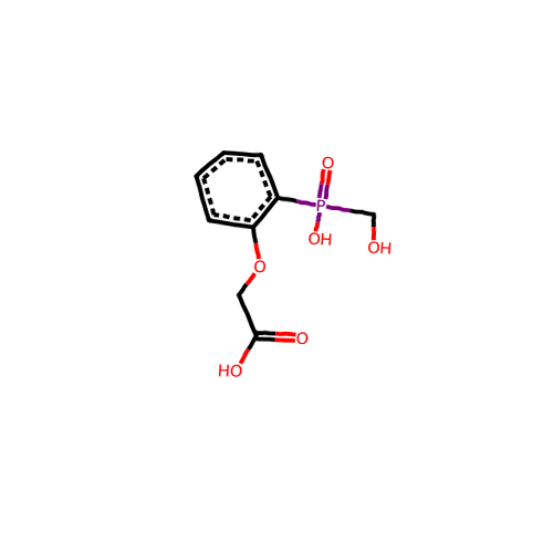 O=C(O)COc1ccccc1P(=O)(O)CO